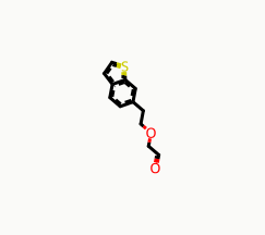 O=CCOCCc1ccc2ccsc2c1